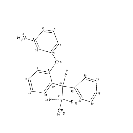 Nc1cccc(Oc2ccccc2C(F)(c2ccccc2)C(F)(F)C(F)(F)F)c1